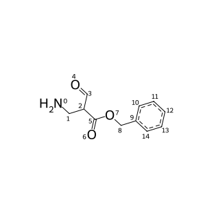 NCC(C=O)C(=O)OCc1ccccc1